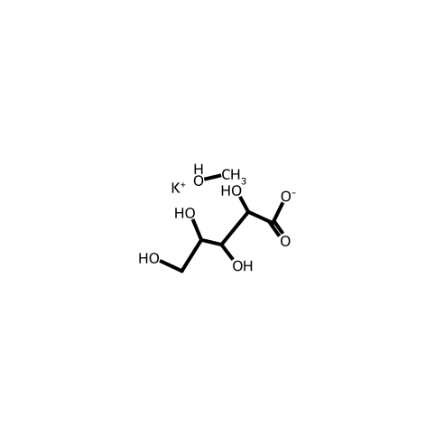 CO.O=C([O-])C(O)C(O)C(O)CO.[K+]